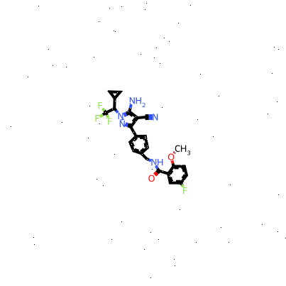 COc1ccc(F)cc1C(=O)NCc1ccc(-c2nn(C(C3CC3)C(F)(F)F)c(N)c2C#N)cc1